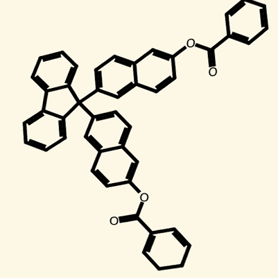 O=C(Oc1ccc2cc(C3(c4ccc5cc(OC(=O)c6ccccc6)ccc5c4)c4ccccc4-c4ccccc43)ccc2c1)C1=CCCC=C1